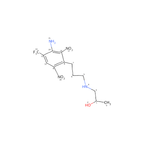 CC(O)CNCCCc1c([N+](=O)[O-])cc(C(F)(F)F)c(N)c1[N+](=O)[O-]